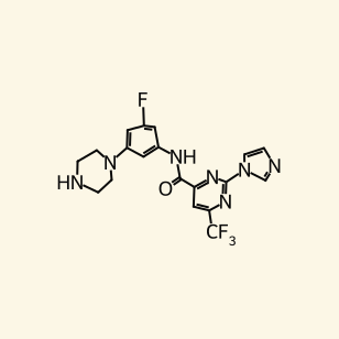 O=C(Nc1cc(F)cc(N2CCNCC2)c1)c1cc(C(F)(F)F)nc(-n2ccnc2)n1